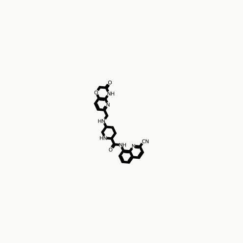 N#Cc1ccc2cccc(NC(=O)C3CCC(NCc4ccc5c(n4)NC(=O)CO5)CN3)c2n1